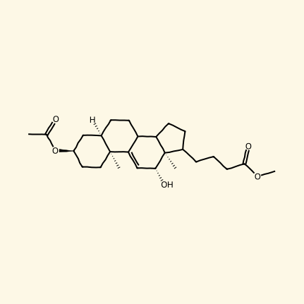 COC(=O)CCCC1CCC2C3CC[C@@H]4C[C@H](OC(C)=O)CC[C@]4(C)C3=C[C@@H](O)[C@]12C